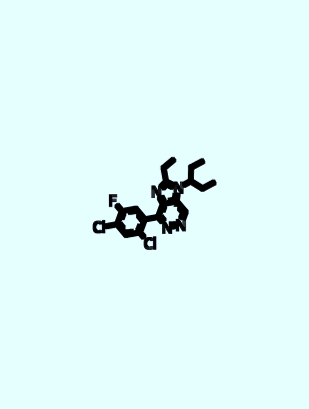 CCc1nc2c(-c3cc(F)c(Cl)cc3Cl)nncc2n1C(CC)CC